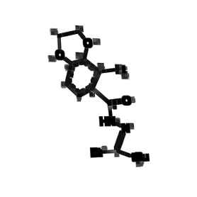 CC/C(=N\NC(=O)c1ccc2c(c1CC)OCCO2)C(C)(C)C